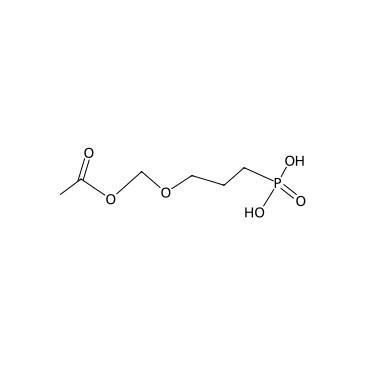 CC(=O)OCOCCCP(=O)(O)O